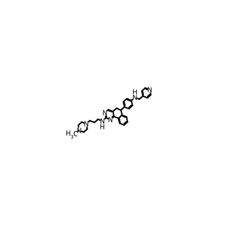 CN1CCN(CCCNc2ncc3c(n2)-c2ccccc2C(c2ccc(NCc4ccncc4)cc2)C3)CC1